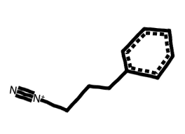 N#[N+]CCCc1ccccc1